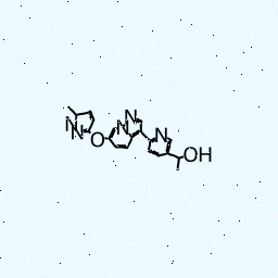 Cc1ccc(Oc2ccc3c(-c4ccc(C(C)O)cn4)cnn3c2)nn1